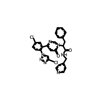 O=C(NCc1ccncc1)C(Cc1ccccc1)n1cnc(-c2cc(Cl)ccc2-n2cc(Cl)nn2)cc1=O